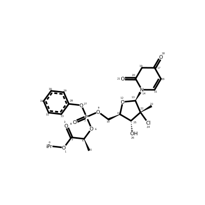 CC(C)OC(=O)[C@H](C)OP(=O)(OC[C@H]1O[C@@H](N2C=CC(=O)CC2=O)[C@](C)(Cl)[C@@H]1O)Oc1ccccc1